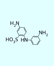 Nc1cccc(Nc2ccc(N)cc2S(=O)(=O)O)c1